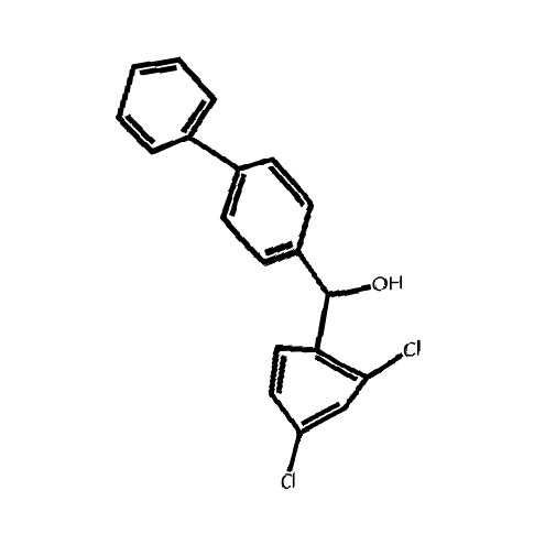 OC(c1ccc(-c2ccccc2)cc1)c1ccc(Cl)cc1Cl